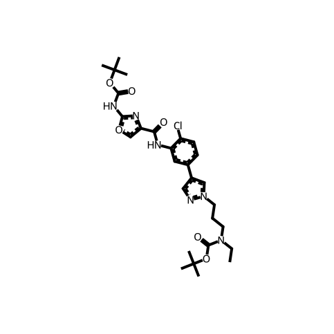 CCN(CCCn1cc(-c2ccc(Cl)c(NC(=O)c3coc(NC(=O)OC(C)(C)C)n3)c2)cn1)C(=O)OC(C)(C)C